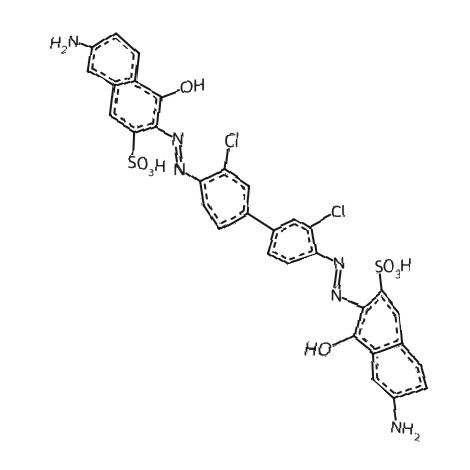 Nc1ccc2c(O)c(/N=N/c3ccc(-c4ccc(/N=N/c5c(S(=O)(=O)O)cc6ccc(N)cc6c5O)c(Cl)c4)cc3Cl)c(S(=O)(=O)O)cc2c1